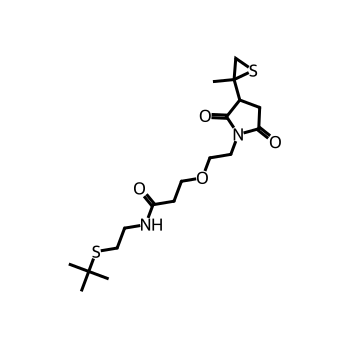 CC(C)(C)SCCNC(=O)CCOCCN1C(=O)CC(C2(C)CS2)C1=O